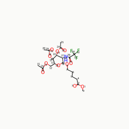 COC(=O)CCCCO[C@@H]1OC(COC(C)=O)[C@H](OC(C)=O)C(OC(C)=O)C1NC(=O)C(F)(F)F